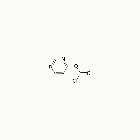 O=C(Cl)Oc1ccncn1